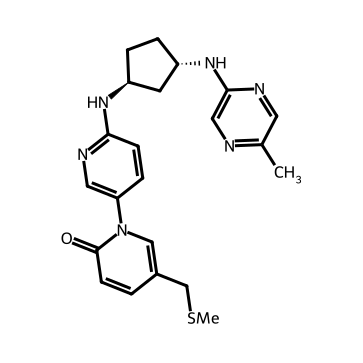 CSCc1ccc(=O)n(-c2ccc(N[C@H]3CC[C@H](Nc4cnc(C)cn4)C3)nc2)c1